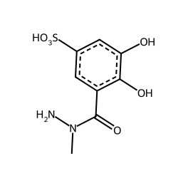 CN(N)C(=O)c1cc(S(=O)(=O)O)cc(O)c1O